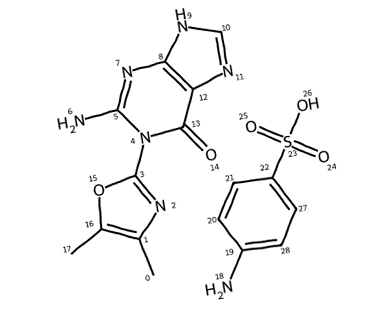 Cc1nc(-n2c(N)nc3[nH]cnc3c2=O)oc1C.Nc1ccc(S(=O)(=O)O)cc1